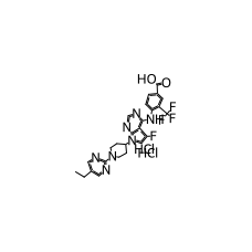 CCc1cnc(N2CCC(n3cc(F)c4c(Nc5ccc(C(=O)O)cc5C(F)(F)F)ncnc43)CC2)nc1.Cl.Cl